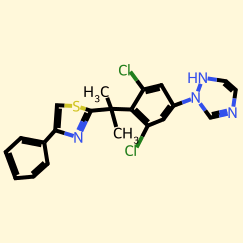 CC(C)(c1nc(-c2ccccc2)cs1)c1c(Cl)cc(N2C=NC=CN2)cc1Cl